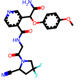 COc1ccc(OC(C(N)=O)c2cnccc2C(=O)NCC(=O)N2CC(F)(F)CC2C#N)cc1